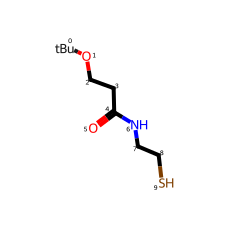 CC(C)(C)OCCC(=O)NCCS